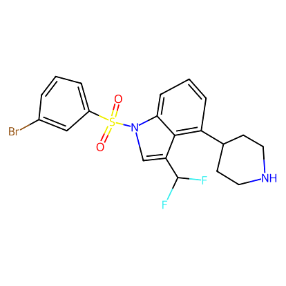 O=S(=O)(c1cccc(Br)c1)n1cc(C(F)F)c2c(C3CCNCC3)cccc21